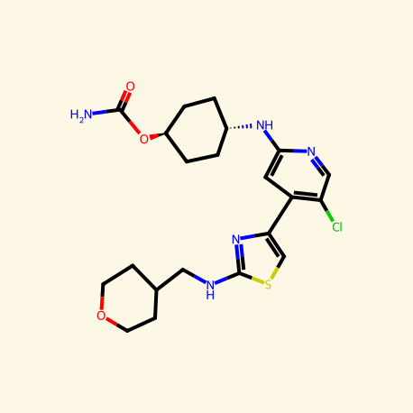 NC(=O)O[C@H]1CC[C@H](Nc2cc(-c3csc(NCC4CCOCC4)n3)c(Cl)cn2)CC1